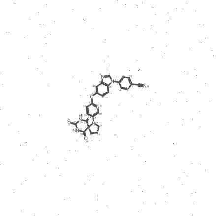 N#Cc1ccc(-n2cnc3cc(Oc4ccc(N5CCCC56C(=O)NC(=O)NC6=O)cn4)ccc32)cc1